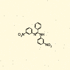 O=[N+]([O-])c1cccc(/N=C(/Nc2cccc([N+](=O)[O-])c2)c2ccccc2)c1